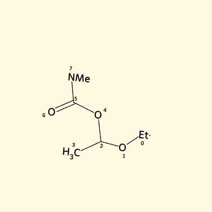 C[CH]OC(C)OC(=O)NC